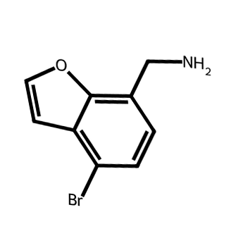 NCc1ccc(Br)c2ccoc12